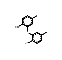 Cc1ccc(O)c(Oc2cc(C)ccc2O)c1